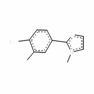 Cn1ccnc1-c1ccc(O)c(F)c1